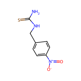 NC(=S)NCc1ccc([N+](=O)[O-])cc1